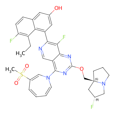 CCc1c(F)ccc2cc(O)cc(-c3ncc4c(N5C=CC=CC(S(C)(=O)=O)=C5)nc(OC[C@@]56CCCN5C[C@H](F)C6)nc4c3F)c12